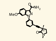 COc1ccc2c(C(N)=O)nn(-c3cccc(C#C[C@]4(C)CCN(C)C4=O)c3)c2c1